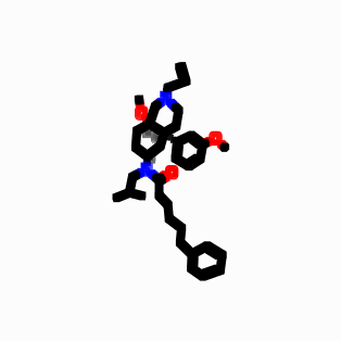 C=CCN1CC[C@@]2(c3cccc(OC)c3)C[C@@H](N(CC(C)C)C(=O)CCCCCc3ccccc3)CC[C@]2(OC)C1